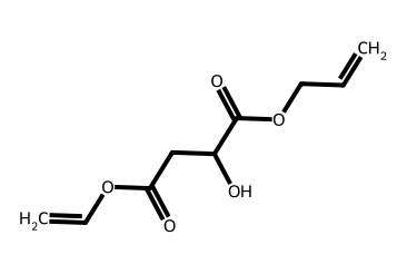 C=CCOC(=O)C(O)CC(=O)OC=C